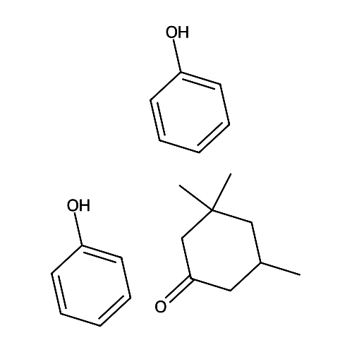 CC1CC(=O)CC(C)(C)C1.Oc1ccccc1.Oc1ccccc1